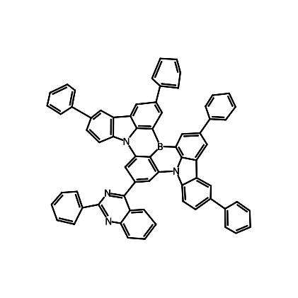 c1ccc(-c2ccc3c(c2)c2cc(-c4ccccc4)cc4c2n3-c2cc(-c3nc(-c5ccccc5)nc5ccccc35)cc3c2B4c2cc(-c4ccccc4)cc4c5cc(-c6ccccc6)ccc5n-3c24)cc1